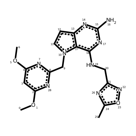 COc1cc(OC)nc(Cn2ccc3nc(N)nc(NCc4noc(C)n4)c32)n1